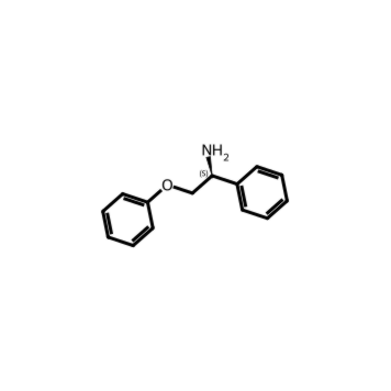 N[C@H](COc1ccccc1)c1ccccc1